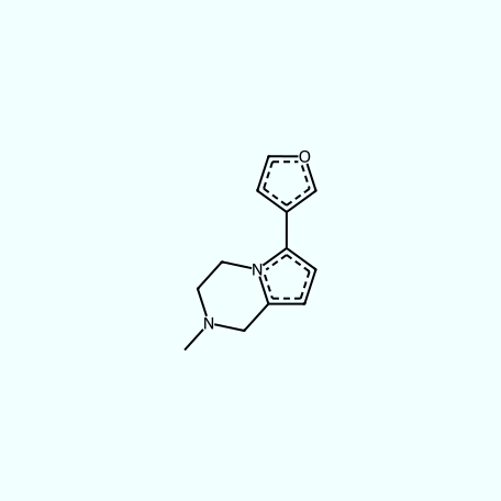 CN1CCn2c(ccc2-c2ccoc2)C1